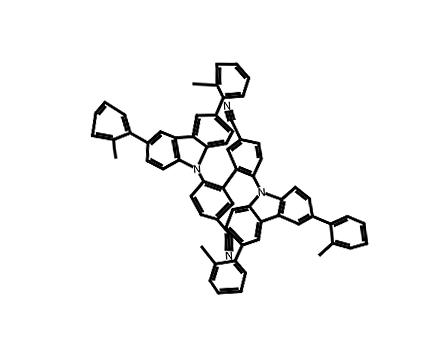 Cc1ccccc1-c1ccc2c(c1)c1cc(-c3ccccc3C)ccc1n2-c1ccc(C#N)cc1-c1cc(C#N)ccc1-n1c2ccc(-c3ccccc3C)cc2c2cc(-c3ccccc3C)ccc21